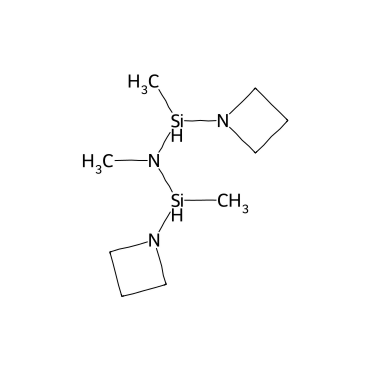 CN([SiH](C)N1CCC1)[SiH](C)N1CCC1